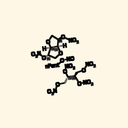 CCCCCON=O.O=[N+]([O-])OC[C@H](O[N+](=O)[O-])[C@@H](CO[N+](=O)[O-])O[N+](=O)[O-].O=[N+]([O-])O[C@H]1CO[C@H]2[C@@H]1OC[C@H]2O[N+](=O)[O-]